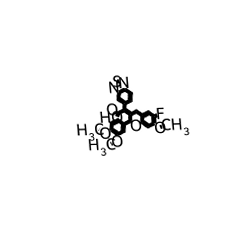 COc1ccc(CC(C(=O)c2ccc(OC)c(OC)c2)=C(C(=O)O)c2ccc3nsnc3c2)cc1F